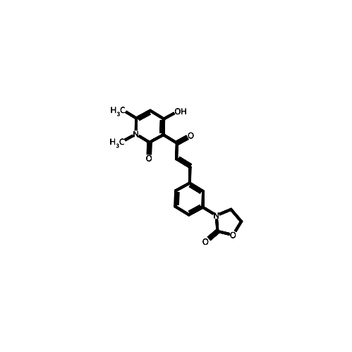 Cc1cc(O)c(C(=O)C=Cc2cccc(N3CCOC3=O)c2)c(=O)n1C